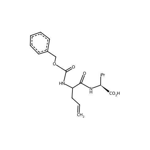 C=CCC(NC(=O)OCc1ccccc1)C(=O)N[C@H](C(=O)O)C(C)C